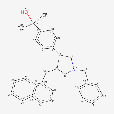 OC(c1ccc(C2CN(Cc3ccccc3)CC2Cc2cccc3ccccc23)cc1)(C(F)(F)F)C(F)(F)F